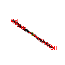 OCCOCCOCCOCCOCCOCCOCCCCCCCCCCSSCCCCCCCCCCOCCOCCOCCOCCOCCOCCO